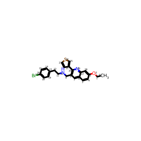 CCOc1ccc2cc(CNCCc3ccc(Br)cc3)c(-c3ccsc3)nc2c1